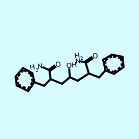 NC(=O)C(Cc1ccccc1)CC(O)CC(Cc1ccccc1)C(N)=O